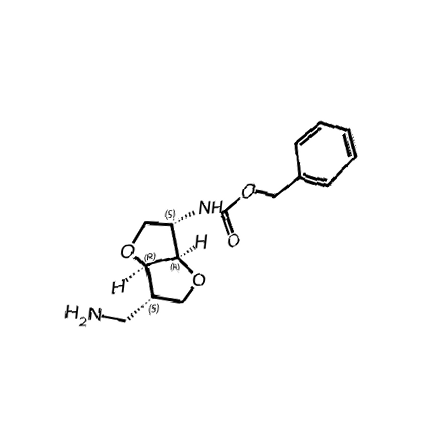 NC[C@H]1CO[C@H]2[C@@H]1OC[C@@H]2NC(=O)OCc1ccccc1